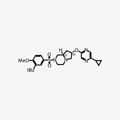 COc1ccc(S(=O)(=O)N2CCN3C[C@H](Oc4cnc(C5CC5)cn4)C[C@H]3C2)cc1C(C)(C)C